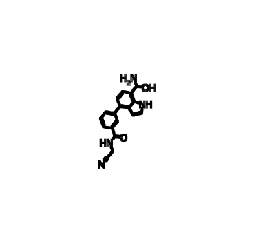 N#CCNC(=O)c1cccc(-c2ccc(C(N)O)c3[nH]ccc23)c1